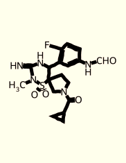 CN1C(=N)NC(c2cc(NC=O)ccc2F)C2(CCN(C(=O)C3CC3)C2)S1(=O)=O